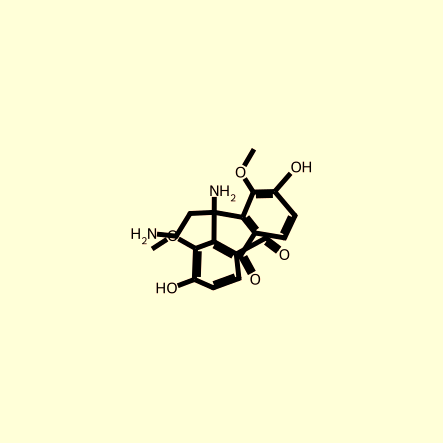 COc1c(O)ccc(C=O)c1C(N)(CCN)c1c(C=O)ccc(O)c1OC